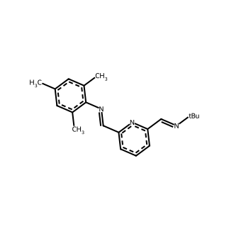 Cc1cc(C)c(N=Cc2cccc(C=NC(C)(C)C)n2)c(C)c1